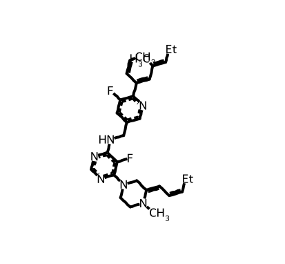 C\C=C/C(=C\C(C)=C\CC)c1ncc(CNc2ncnc(N3CCN(C)/C(=C\C=C/CC)C3)c2F)cc1F